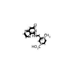 CN1CCN(C(=O)O)C[C@H]1CNc1nc(Cl)cc2nccnc12